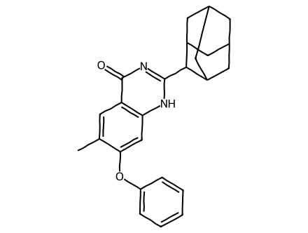 Cc1cc2c(=O)nc(C3C4CC5CC(C4)CC3C5)[nH]c2cc1Oc1ccccc1